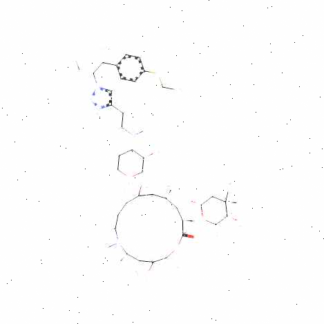 CO[C@H](c1ccc(SCC#N)cc1)[C@@H](CF)n1cc(CCN(C)[C@H]2C[C@@H](C)O[C@@H](O[C@@H]3[C@@H](C)[C@H](O[C@H]4C[C@@](C)(OC)[C@@H](O)[C@H](C)O4)[C@@H](C)C(=O)O[C@H](I)[C@@](C)(O)[C@H](O)[C@@H](C)N(C)C[C@H](C)C[C@@]3(C)O)[C@@H]2O)nn1